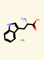 Br.N[C@@H](Cc1c[nH]c2ccccc12)C(=O)O